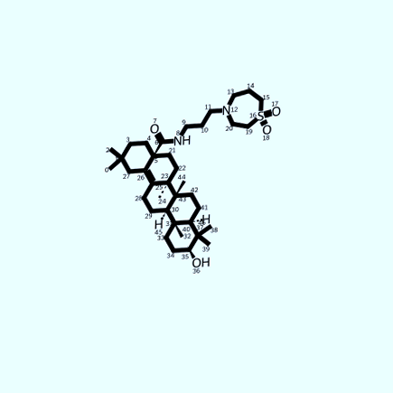 CC1(C)CC[C@]2(C(=O)NCCCN3CCCS(=O)(=O)CC3)CC[C@]3(C)C(=C2C1)CC[C@@H]1[C@@]2(C)CC[C@H](O)C(C)(C)[C@@H]2CC[C@]13C